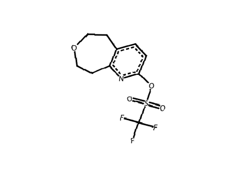 O=S(=O)(Oc1ccc2c(n1)CCOCC2)C(F)(F)F